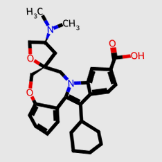 CN(C)[C@@H]1CO[C@]2(COc3ccccc3-c3c(C4CCCCC4)c4ccc(C(=O)O)cc4n3C2)C1